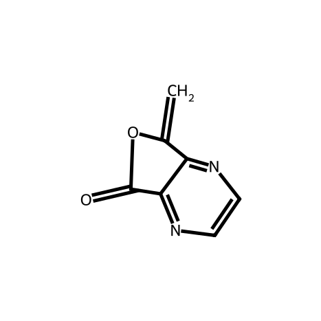 C=C1OC(=O)c2nccnc21